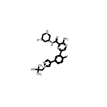 CC(C)(O)Cn1cc(-c2ccc(F)c(-c3cnc(N)c(C(=O)N[C@@H]4CNC[C@@H](F)C4)n3)c2)cn1